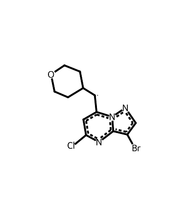 Clc1cc([CH]C2CCOCC2)n2ncc(Br)c2n1